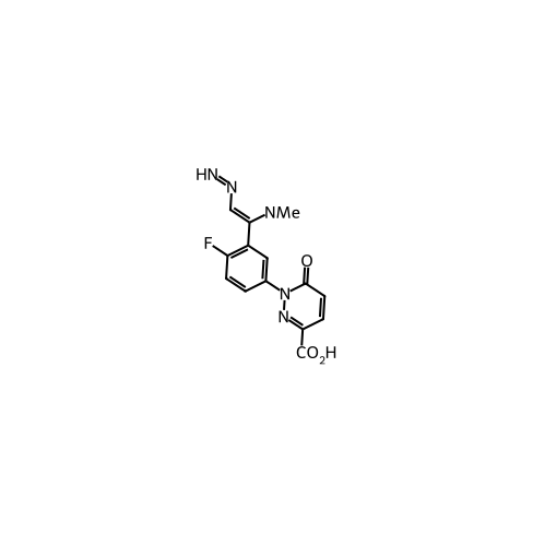 CN/C(=C\N=N)c1cc(-n2nc(C(=O)O)ccc2=O)ccc1F